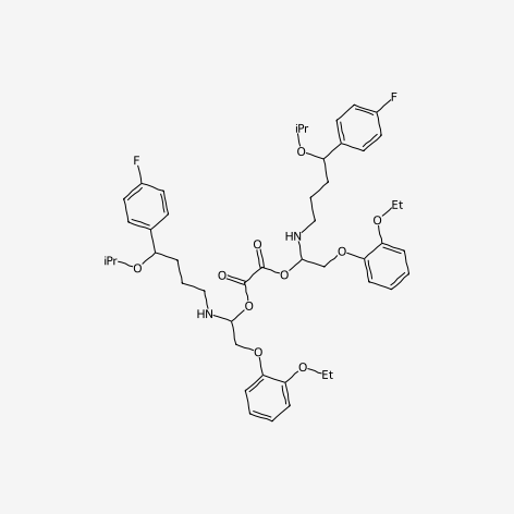 CCOc1ccccc1OCC(NCCCC(OC(C)C)c1ccc(F)cc1)OC(=O)C(=O)OC(COc1ccccc1OCC)NCCCC(OC(C)C)c1ccc(F)cc1